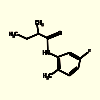 CCC(C)C(=O)Nc1cc(F)ccc1C